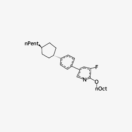 CCCCCCCCOc1ncc(-c2ccc([C@H]3CC[C@H](CCCCC)CC3)cc2)cc1F